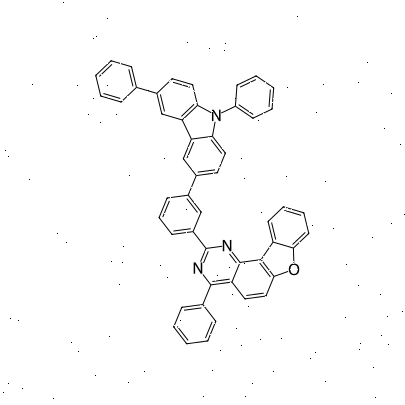 c1ccc(-c2ccc3c(c2)c2cc(-c4cccc(-c5nc(-c6ccccc6)c6ccc7oc8ccccc8c7c6n5)c4)ccc2n3-c2ccccc2)cc1